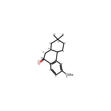 COc1ccc2c(c1)C1CCC(C)(C)CC1CC2=O